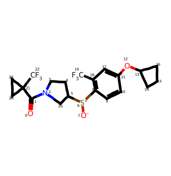 O=C(N1CCC([S+]([O-])c2ccc(OC3CCC3)cc2C(F)(F)F)C1)C1(C(F)(F)F)CC1